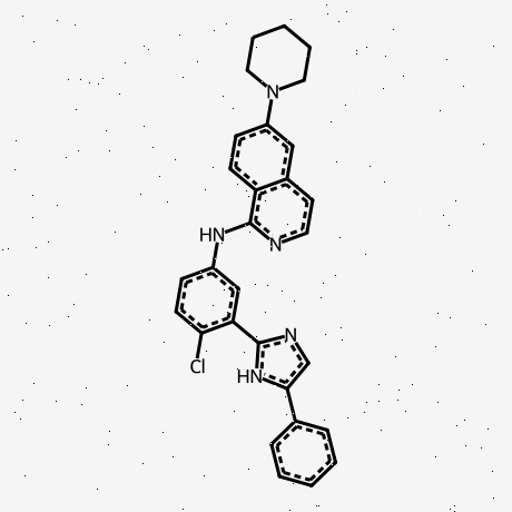 Clc1ccc(Nc2nccc3cc(N4CCCCC4)ccc23)cc1-c1ncc(-c2ccccc2)[nH]1